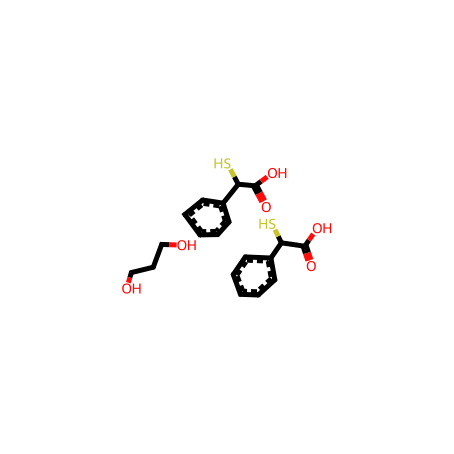 O=C(O)C(S)c1ccccc1.O=C(O)C(S)c1ccccc1.OCCCO